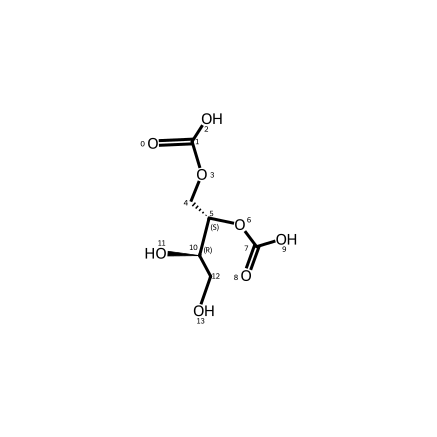 O=C(O)OC[C@H](OC(=O)O)[C@H](O)CO